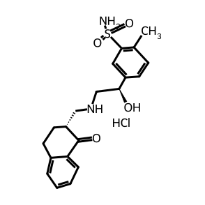 Cc1ccc([C@@H](O)CNC[C@H]2CCc3ccccc3C2=O)cc1S(N)(=O)=O.Cl